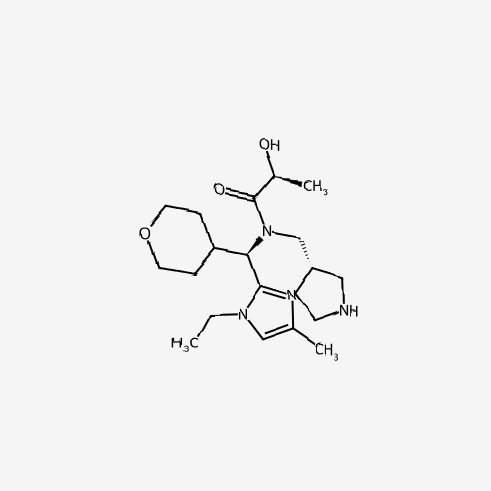 CCn1cc(C)nc1[C@@H](C1CCOCC1)N(C[C@H]1CCNC1)C(=O)[C@H](C)O